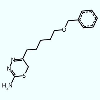 NC1=NN=C(CCCCCOCc2ccccc2)CS1